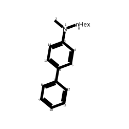 [CH2]CCCCCN(C)c1ccc(-c2ccccc2)cc1